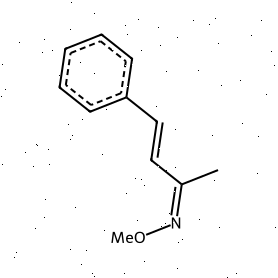 CO/N=C(C)\C=C\c1ccccc1